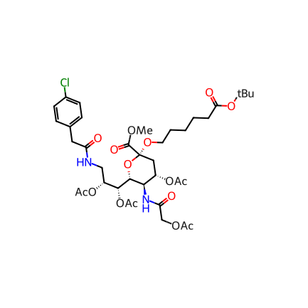 COC(=O)[C@@]1(OCCCCCC(=O)OC(C)(C)C)C[C@H](OC(C)=O)[C@@H](NC(=O)COC(C)=O)[C@H]([C@H](OC(C)=O)[C@@H](CNC(=O)Cc2ccc(Cl)cc2)OC(C)=O)O1